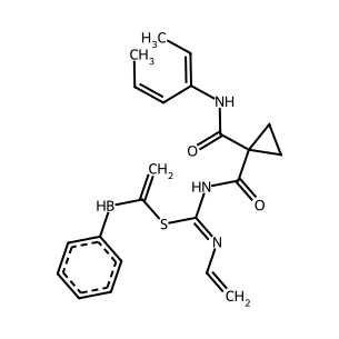 C=C/N=C(/NC(=O)C1(C(=O)NC(/C=C\C)=C/C)CC1)SC(=C)Bc1ccccc1